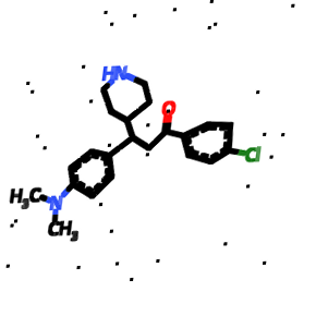 CN(C)c1ccc(C(CC(=O)c2ccc(Cl)cc2)C2CCNCC2)cc1